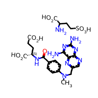 CN(Cc1cnc2nc(N)nc(N)c2n1)c1ccc(C(=O)N[C@@H](CCC(=O)O)C(=O)O)cc1.NC(CCS(=O)(=O)O)C(=O)O